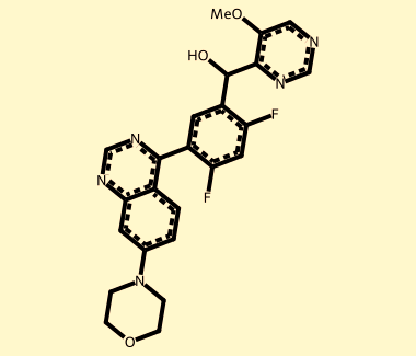 COc1cncnc1C(O)c1cc(-c2ncnc3cc(N4CCOCC4)ccc23)c(F)cc1F